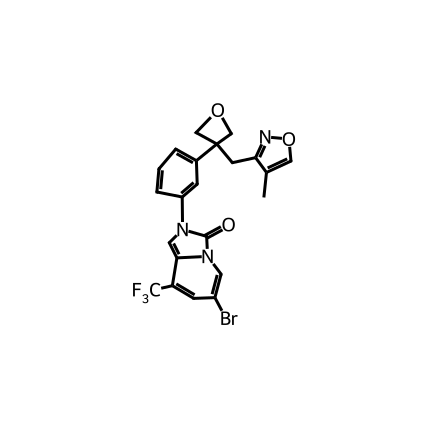 Cc1conc1CC1(c2cccc(-n3cc4c(C(F)(F)F)cc(Br)cn4c3=O)c2)COC1